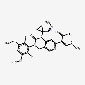 C/N=C\C1(N2C(=O)N(c3c(F)c(OC)cc(OC)c3F)Cc3cnc(/C(=C/NC)C(C)=N)cc32)CC1